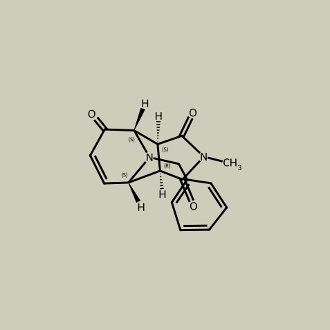 CN1C(=O)[C@@H]2[C@H](C1=O)[C@H]1C(=O)C=C[C@@H]2N1Cc1ccccc1